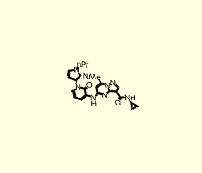 CCCN1CC[C@@H](n2cccc(Nc3cc(NC)n4ncc(C(=O)NC5CC5)c4n3)c2=O)C1